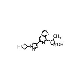 C[C@H]1[C@H](O)CN1c1nc(-c2cnn(C3CNC3)c2)cn2ccnc12